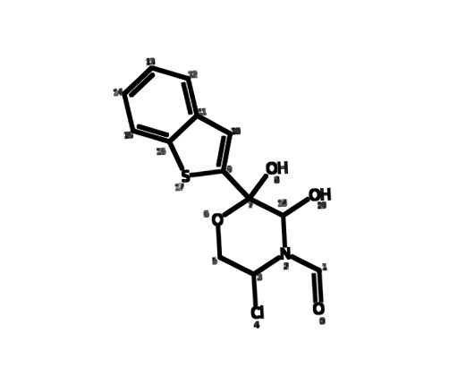 O=CN1C(Cl)COC(O)(c2cc3ccccc3s2)C1O